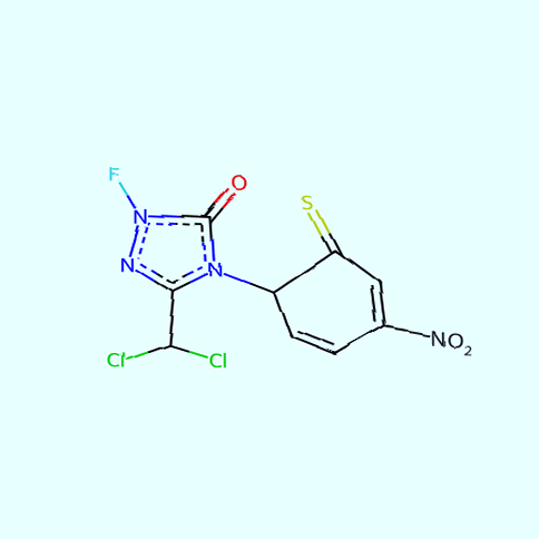 O=c1n(F)nc(C(Cl)Cl)n1C1C=CC([N+](=O)[O-])=CC1=S